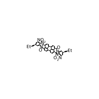 CCC#Cc1cc([N+](=O)[O-])c2nc3c4ccc5c6ccc7c(=O)n8c9cc(C#CCC)cc([N+](=O)[O-])c9nc8c8ccc(c9ccc(c(=O)n3c2c1)c4c95)c6c78